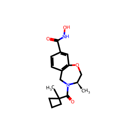 C[C@@H]1COc2cc(C(=O)NO)ccc2CN1C(=O)C1(C)CCC1